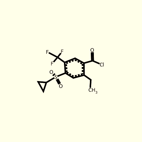 CCc1cc(S(=O)(=O)C2CC2)c(C(F)(F)F)cc1C(=O)Cl